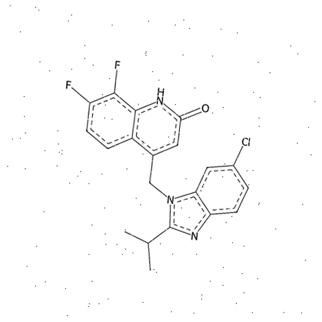 CC(C)c1nc2ccc(Cl)cc2n1Cc1cc(=O)[nH]c2c(F)c(F)ccc12